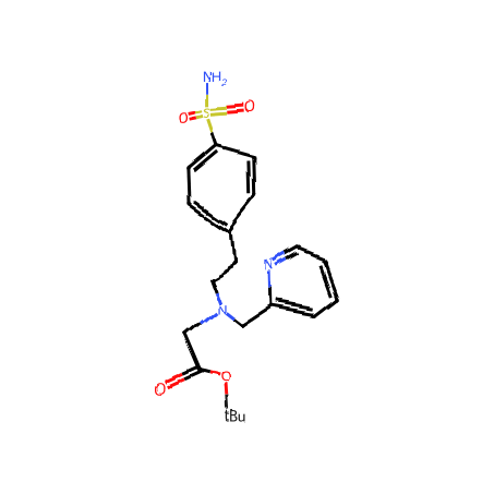 CC(C)(C)OC(=O)CN(CCc1ccc(S(N)(=O)=O)cc1)Cc1ccccn1